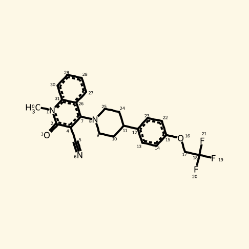 Cn1c(=O)c(C#N)c(N2CCC(c3ccc(OCC(F)(F)F)cc3)CC2)c2ccccc21